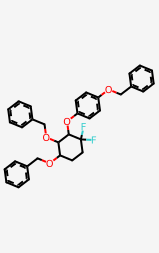 FC1(F)CCC(OCc2ccccc2)C(OCc2ccccc2)C1Oc1ccc(OCc2ccccc2)cc1